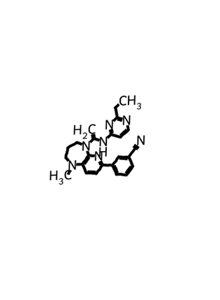 C=C(Nc1ccnc(CC)n1)N1CCCN(C)c2ccc(-c3cccc(C#N)c3)nc21